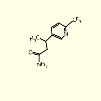 CC(CC(N)=O)c1ccc(C(F)(F)F)nc1